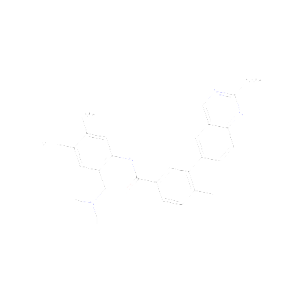 CCN(CC)Cc1cc(OC)c(OC)cc1NC(=O)c1ccc(C)c(-c2ccc3nc(NC)ncc3c2)c1